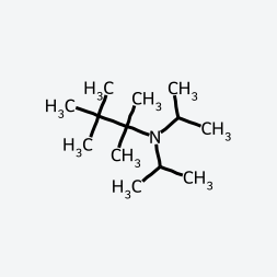 CC(C)N(C(C)C)C(C)(C)C(C)(C)C